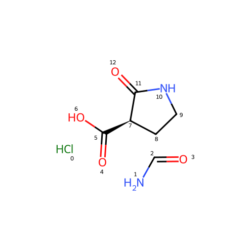 Cl.NC=O.O=C(O)[C@@H]1CCNC1=O